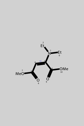 CCN(CC)/C(=C/C(=O)OC)C(=O)OC